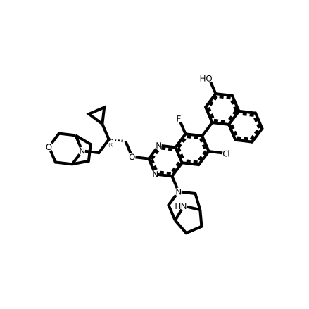 Oc1cc(-c2c(Cl)cc3c(N4CC5CCC(C4)N5)nc(OC[C@H](CN4C5CCC4COC5)C4CC4)nc3c2F)c2ccccc2c1